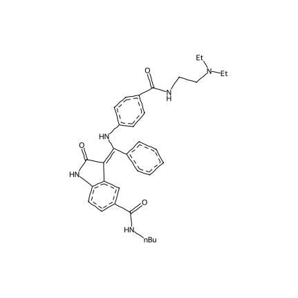 CCCCNC(=O)c1ccc2c(c1)/C(=C(/Nc1ccc(C(=O)NCCN(CC)CC)cc1)c1ccccc1)C(=O)N2